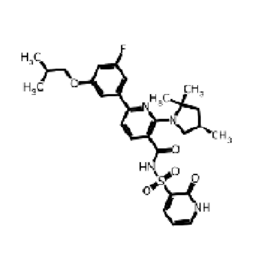 CC(C)COc1cc(F)cc(-c2ccc(C(=O)NS(=O)(=O)c3ccc[nH]c3=O)c(N3C[C@H](C)CC3(C)C)n2)c1